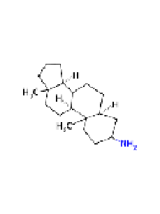 CC12CCC[C@H]1C1CC[C@H]3CC(N)CCC3(C)[C@H]1CC2